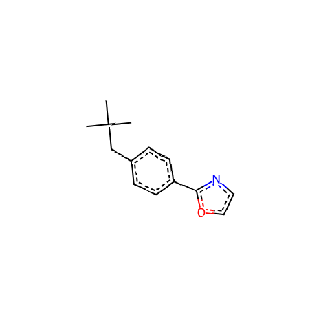 CC(C)(C)Cc1ccc(-c2ncco2)cc1